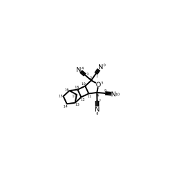 N#CC1(C#N)OC(C#N)(C#N)C2C3C4CCC(C4)C3C21